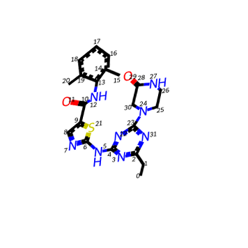 CCc1nc(Nc2ncc(C(=O)Nc3c(C)cccc3C)s2)nc(N2CCNC(=O)C2)n1